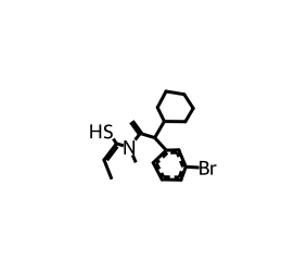 C=C(C(c1cccc(Br)c1)C1CCCCC1)N(C)/C(S)=C\C